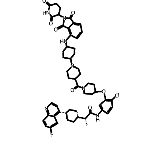 C[C@@H](C(=O)Nc1ccc(Cl)c(OC2CCN(C(=O)C3CCN(C4CCC(Nc5cccc6c5C(=O)N(C5CCC(=O)NC5=O)C6=O)CC4)CC3)CC2)c1)[C@H]1CC[C@@H](c2ccnc3ccc(F)cc32)CC1